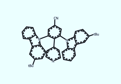 CC(C)(C)c1ccc2c(c1)c1ccccc1n2-c1cc(C#N)cc(-n2c3ccccc3c3cc(C(C)(C)C)ccc32)c1-c1ccncc1